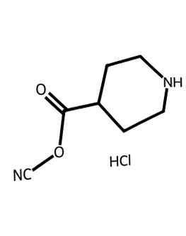 Cl.N#COC(=O)C1CCNCC1